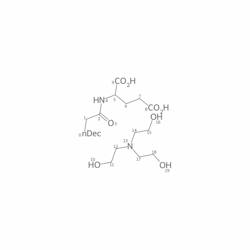 CCCCCCCCCCCC(=O)NC(CCC(=O)O)C(=O)O.OCCN(CCO)CCO